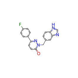 O=c1ccc(-c2ccc(F)cc2)nn1Cc1ccc2[nH]cnc2c1